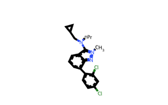 CCCN(CC1CC1)c1c2cccc(-c3ccc(Cl)cc3Cl)c2nn1C